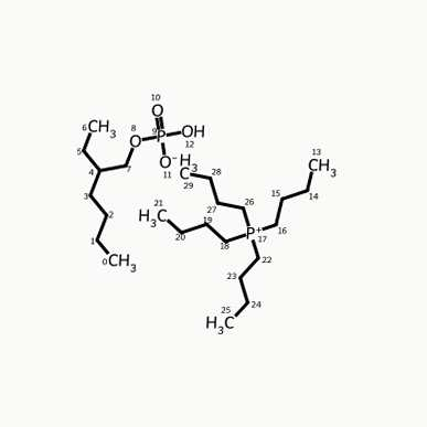 CCCCC(CC)COP(=O)([O-])O.CCCC[P+](CCCC)(CCCC)CCCC